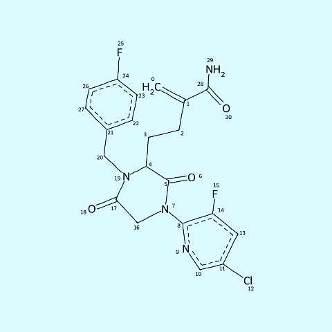 C=C(CCC1C(=O)N(c2ncc(Cl)cc2F)CC(=O)N1Cc1ccc(F)cc1)C(N)=O